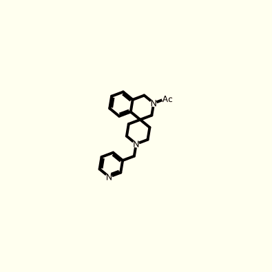 CC(=O)N1Cc2ccccc2C2(CCN(Cc3cccnc3)CC2)C1